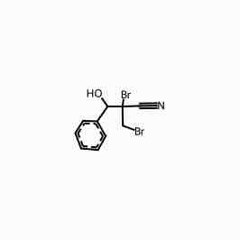 N#CC(Br)(CBr)C(O)c1ccccc1